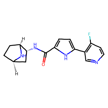 O=C(N[C@@H]1C[C@H]2CC[C@@H]1N2)c1ccc(-c2cnccc2F)[nH]1